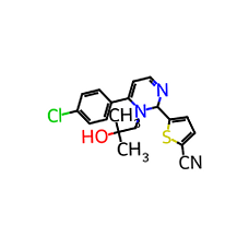 CC(C)(O)CN1C(c2ccc(Cl)cc2)=CC=NC1c1ccc(C#N)s1